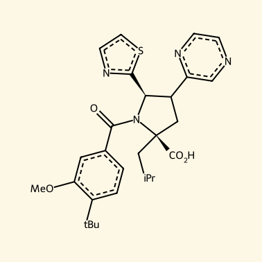 COc1cc(C(=O)N2[C@@H](c3nccs3)C(c3cnccn3)C[C@@]2(CC(C)C)C(=O)O)ccc1C(C)(C)C